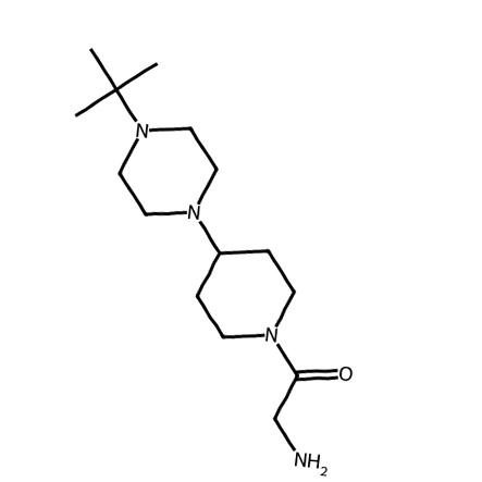 CC(C)(C)N1CCN(C2CCN(C(=O)CN)CC2)CC1